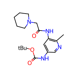 Cc1ncc(NC(=O)OC(C)(C)C)cc1NC(=O)CN1CCCCC1